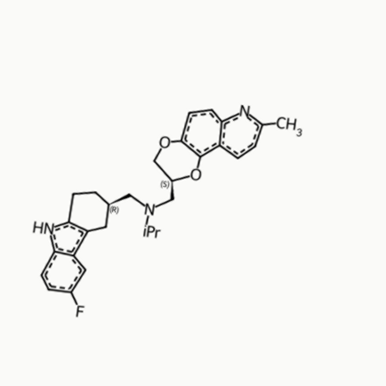 Cc1ccc2c3c(ccc2n1)OC[C@H](CN(C[C@@H]1CCc2[nH]c4ccc(F)cc4c2C1)C(C)C)O3